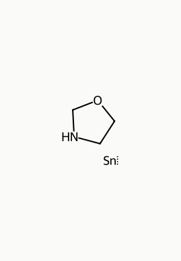 C1COCN1.[Sn]